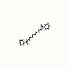 S=C(SSCCCCCCSSC(=S)N1CCOCC1)N1CCOCC1